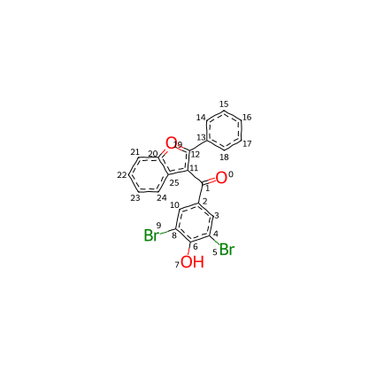 O=C(c1cc(Br)c(O)c(Br)c1)c1c(-c2ccccc2)oc2ccccc12